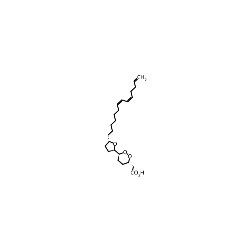 C=CCC/C=C\C=C/CCCCCC[C@H]1CC[C@H]([C@@H]2CC[C@@H](CC(=O)O)OO2)O1